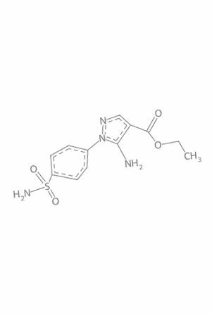 CCOC(=O)c1cnn(-c2ccc(S(N)(=O)=O)cc2)c1N